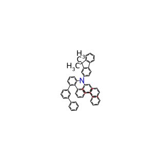 CC1(C)c2ccccc2-c2ccc(N(c3ccc(-c4ccccc4)cc3)c3cccc(-c4cccc(-c5ccccc5)c4)c3-c3cccc(-c4ccccc4)c3)cc21